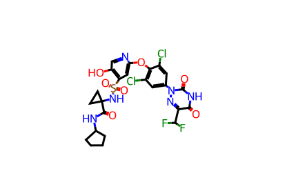 O=C(NC1CCCC1)C1(NS(=O)(=O)c2cc(Oc3c(Cl)cc(-n4nc(C(F)F)c(=O)[nH]c4=O)cc3Cl)ncc2O)CC1